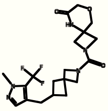 Cn1ncc(CC2CC3(C2)CN(C(=O)N2CC4(COCC(=O)N4)C2)C3)c1C(F)(F)F